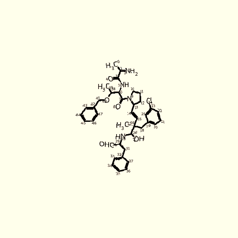 CC(N)C(=O)NC(C(=O)N1CCCC1/C=C/[C@@](C)(Cc1cccc(Cl)c1)C(O)N[C@H](C=O)Cc1ccccc1)C(C)OCc1ccccc1